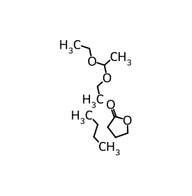 CCCC.CCOC(C)OCC.O=C1CCCO1